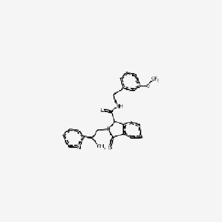 CC(CN1C(=O)c2ccccc2C1C(=O)NCc1cccc(OC(F)(F)F)c1)c1ccccn1